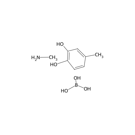 CN.Cc1ccc(O)c(O)c1.OB(O)O